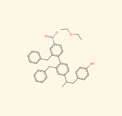 CC(Cc1ccc(O)cc1)c1ccc(-c2ccc([N+](=O)[O-])cc2Cc2ccccc2)c(Cc2ccccc2)c1.CCOCC